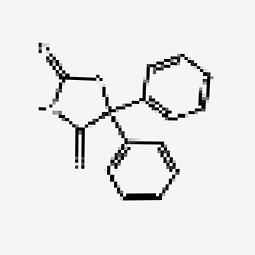 O=C1NC(=O)C(c2ccccc2)(c2ccccc2)S1